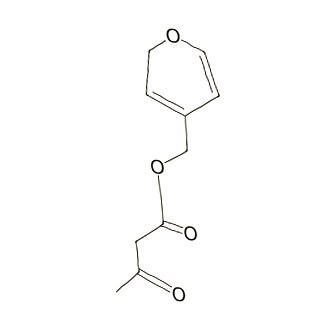 CC(=O)CC(=O)OCC1=CCOC=C1